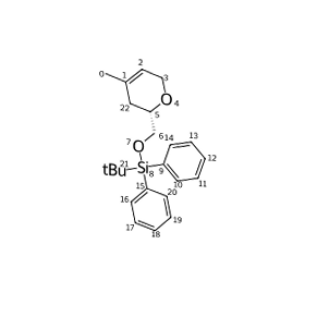 CC1=CCO[C@H](CO[Si](c2ccccc2)(c2ccccc2)C(C)(C)C)C1